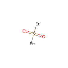 C[C]S(=O)(=O)CC